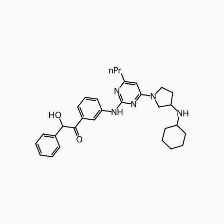 CCCc1cc(N2CCC(NC3CCCCC3)C2)nc(Nc2cccc(C(=O)C(O)c3ccccc3)c2)n1